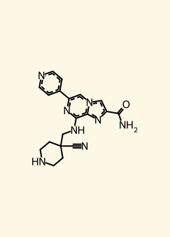 N#CC1(CNc2nc(-c3ccncc3)cn3cc(C(N)=O)nc23)CCNCC1